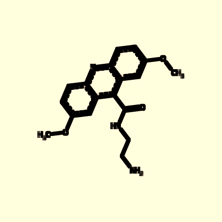 COc1ccc2nc3ccc(OC)cc3c(C(=O)NCCN)c2c1